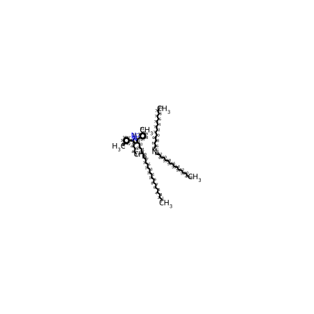 CCCCCCCCCCCCCCCCCCCCCCCCC1=C(c2cccc(C)c2)[N+](=[N-])C(c2cccc(C)c2)=C1CCCC.CCCCCCCCCCCCCCC[CH2][Ni][CH2]CCCCCCCCCCCCCCC